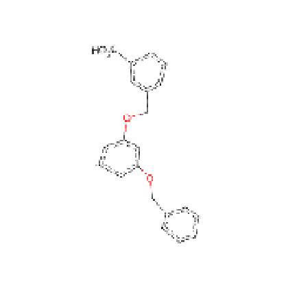 O=C(O)c1cccc(COc2c[c]cc(OCc3ccccc3)c2)c1